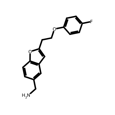 NCc1ccc2oc(CCOc3ccc(F)cc3)cc2c1